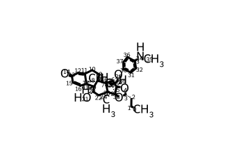 CCC[C@H]1O[C@@H]2CC3[C@@H]4CCC5=CC(=O)C=C[C@]5(C)[C@H]4[C@@H](O)C[C@]3(C)[C@]2(C(=O)COc2ccc(NC)cc2)O1